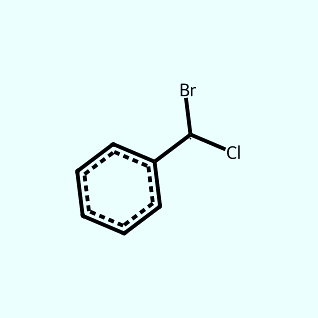 Cl[C](Br)c1ccccc1